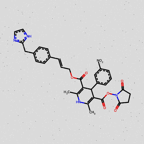 CC1=C(C(=O)OC/C=C/c2ccc(Cc3ncc[nH]3)cc2)C(c2cccc([N+](=O)[O-])c2)C(C(=O)ON2C(=O)CCC2=O)=C(C)N1